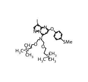 CSc1ccc(Oc2cc(N(COCC[Si](C)(C)C)COCC[Si](C)(C)C)n3ncc(I)c3n2)cc1